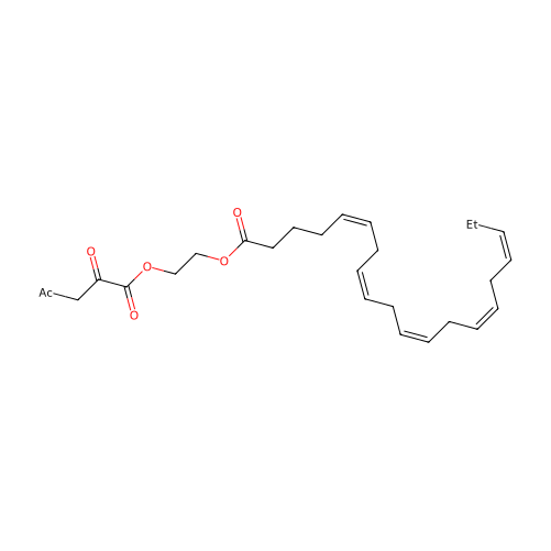 CC/C=C\C/C=C\C/C=C\C/C=C\C/C=C\CCCC(=O)OCCOC(=O)C(=O)CC(C)=O